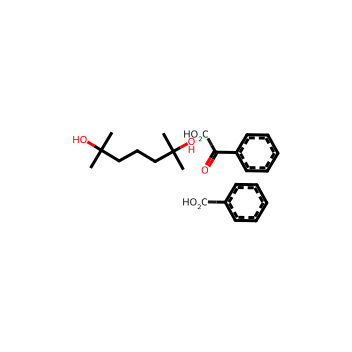 CC(C)(O)CCCC(C)(C)O.O=C(O)C(=O)c1ccccc1.O=C(O)c1ccccc1